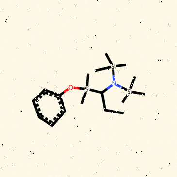 CCC(N([Si](C)(C)C)[Si](C)(C)C)[Si](C)(C)Oc1ccccc1